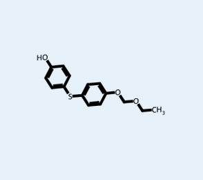 CCOCOc1ccc(Sc2ccc(O)cc2)cc1